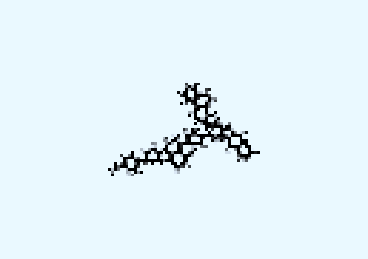 N#Cc1ccc(-c2ccc(-c3ccc(-c4ccc(-c5cc6c7cc8ccccc8cc7sc6c6nc7c8ccc9ccccc9c8ccc7n56)cc4)c4ccccc34)cc2)cc1